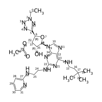 CCn1nnc([C@H]2O[C@@H](n3cnc4c(NCCC(C)(C)C)nc(NCCNc5ccccn5)nc43)[C@H](O)[C@@H]2OC(C)=O)n1